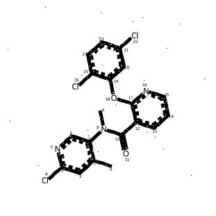 Cc1cc(Cl)ncc1N(C)C(=O)c1cccnc1Oc1cc(Cl)ccc1Cl